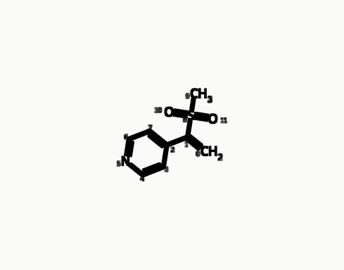 C=C(c1ccncc1)S(C)(=O)=O